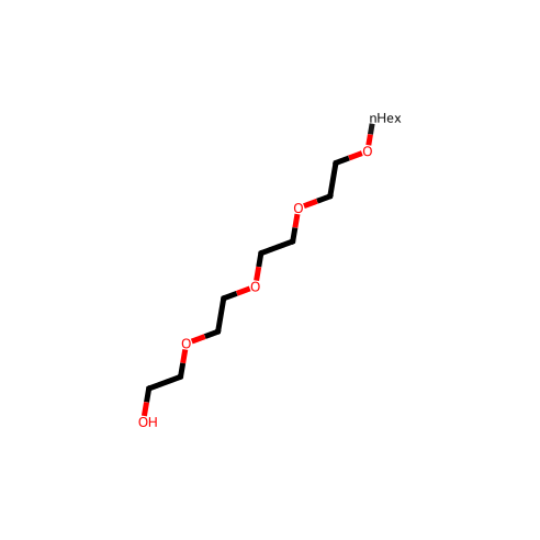 CCCCCCOCCOCCOCCOCCO